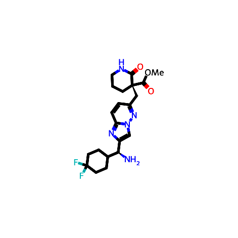 COC(=O)[C@]1(Cc2ccc3nc([C@@H](N)C4CCC(F)(F)CC4)cn3n2)CCCNC1=O